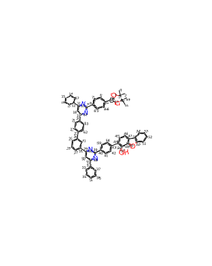 CC1(C)OB(c2ccc(-c3nc(-c4ccccc4)cc(-c4ccc(-c5cccc(-c6cc(-c7ccccc7)nc(-c7ccc(-c8ccc9c(oc%10ccccc%109)c8O)cc7)n6)c5)cc4)n3)cc2)OC1(C)C